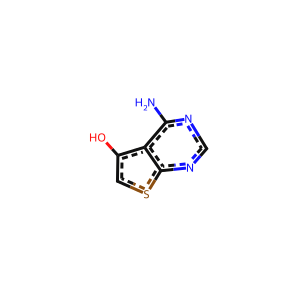 Nc1ncnc2scc(O)c12